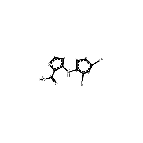 O=C(O)c1sccc1Nc1ccc(F)cc1F